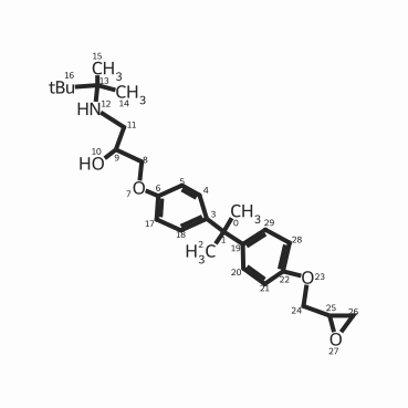 CC(C)(c1ccc(OCC(O)CNC(C)(C)C(C)(C)C)cc1)c1ccc(OCC2CO2)cc1